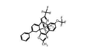 Cc1nc(-c2ccc(OC(F)(F)F)cc2)c(C2(S(C)(=O)=O)CC(c3ccccc3)=CC=C2c2cc(C(F)(F)F)nn2C)o1